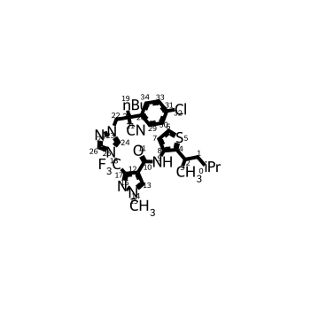 CC(C)CC(C)c1sccc1NC(=O)c1cn(C)nc1C(F)(F)F.CCCCC(C#N)(Cn1cncn1)c1ccc(Cl)cc1